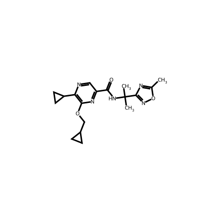 Cc1nc(C(C)(C)NC(=O)c2cnc(C3CC3)c(OCC3CC3)n2)no1